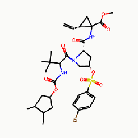 C=C[C@@H]1CC1(NC(=O)[C@@H]1C[C@H](OS(=O)(=O)c2ccc(Br)cc2)CN1C(=O)C(NC(=O)OC1CC(C)C(C)C1)C(C)(C)C)C(=O)OC